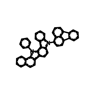 c1ccc(-n2c3c4ccccc4ccc3c3ccc4c(c5ccccc5n4-c4ccc5c6c(cccc46)-c4ccccc4-5)c32)cc1